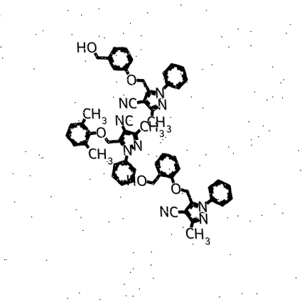 Cc1cccc(C)c1OCc1c(C#N)c(C)nn1-c1ccccc1.Cc1nn(-c2ccccc2)c(COc2cccc(CO)c2)c1C#N.Cc1nn(-c2ccccc2)c(COc2ccccc2CO)c1C#N